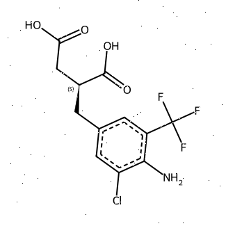 Nc1c(Cl)cc(C[C@@H](CC(=O)O)C(=O)O)cc1C(F)(F)F